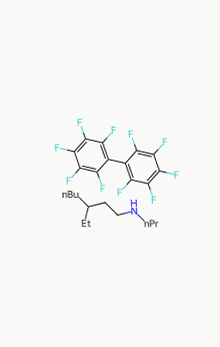 CCCCC(CC)CCNCCC.Fc1c(F)c(F)c(-c2c(F)c(F)c(F)c(F)c2F)c(F)c1F